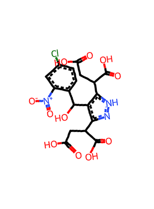 O=C(O)CC(C(=O)O)c1n[nH]c(C(CC(=O)O)C(=O)O)c1C(O)c1ccc(Cl)cc1[N+](=O)[O-]